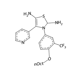 CCCCCCCCOc1ccc(N2C(c3cccnc3)=C(N)SC2N)cc1C(F)(F)F